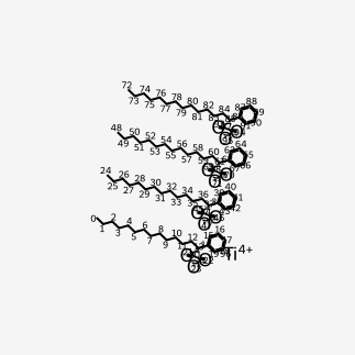 CCCCCCCCCCCCCC(c1ccccc1)S(=O)(=O)[O-].CCCCCCCCCCCCCC(c1ccccc1)S(=O)(=O)[O-].CCCCCCCCCCCCCC(c1ccccc1)S(=O)(=O)[O-].CCCCCCCCCCCCCC(c1ccccc1)S(=O)(=O)[O-].[Ti+4]